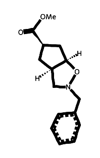 COC(=O)[C@@H]1C[C@@H]2CN(Cc3ccccc3)O[C@@H]2C1